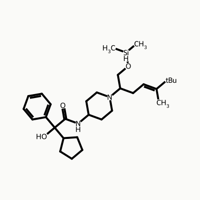 C/C(=C\CC(CO[SiH](C)C)N1CCC(NC(=O)C(O)(c2ccccc2)C2CCCC2)CC1)C(C)(C)C